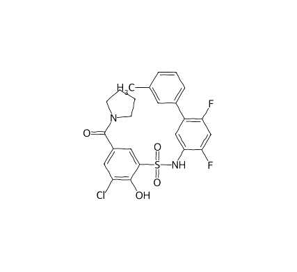 Cc1cccc(-c2cc(NS(=O)(=O)c3cc(C(=O)N4CCCC4)cc(Cl)c3O)c(F)cc2F)c1